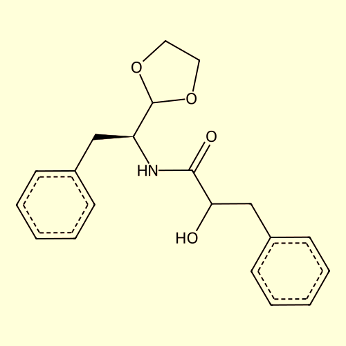 O=C(N[C@@H](Cc1ccccc1)C1OCCO1)C(O)Cc1ccccc1